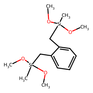 CO[Si](C)(Cc1ccccc1C[Si](C)(OC)OC)OC